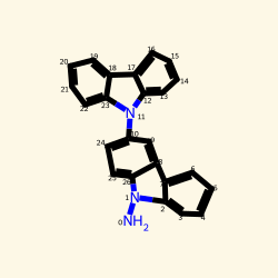 Nn1c2ccccc2c2cc(-n3c4ccccc4c4ccccc43)ccc21